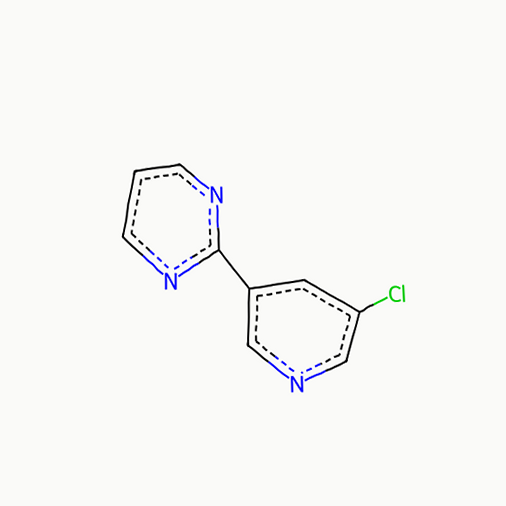 Clc1cncc(-c2ncccn2)c1